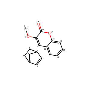 C1=CC2CCC1C2.CCOc1cc2ccccc2oc1=O